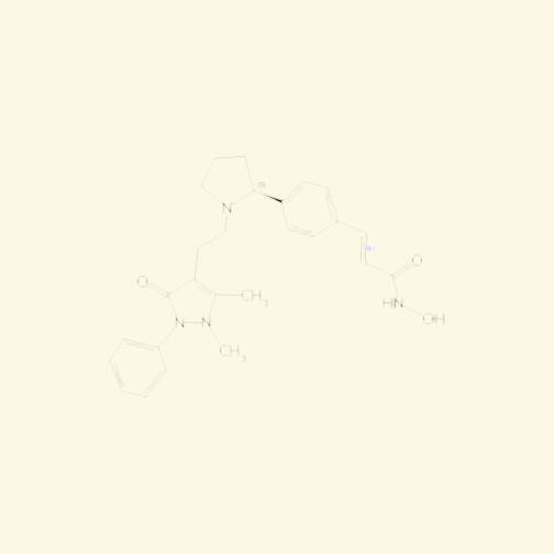 Cc1c(CCN2CCC[C@H]2c2ccc(/C=C/C(=O)NO)cc2)c(=O)n(-c2ccccc2)n1C